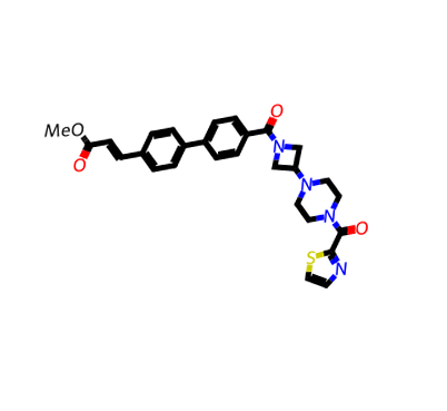 COC(=O)C=Cc1ccc(-c2ccc(C(=O)N3CC(N4CCN(C(=O)c5nccs5)CC4)C3)cc2)cc1